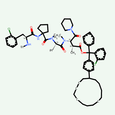 CCN[C@@H](Cc1ccccc1Cl)C(=O)NC1(C(=O)N(C)[C@H](C(=O)N(C)[C@H](C(=O)N2CCCCC2)[C@@H](C)C(=O)OC(c2ccccc2)(c2ccc(C3CCCCCCCCCCCCC3)cc2)c2ccccc2Cl)C(C)C)CCCC1